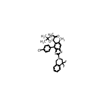 CC(=O)[C@@H](OC(C)(C)C)c1c(C)cc2nc(N3Cc4ccccc4C(F)(F)C3)sc2c1-c1ccc(Cl)cc1